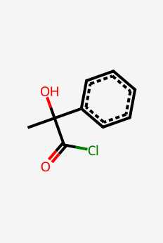 CC(O)(C(=O)Cl)c1ccccc1